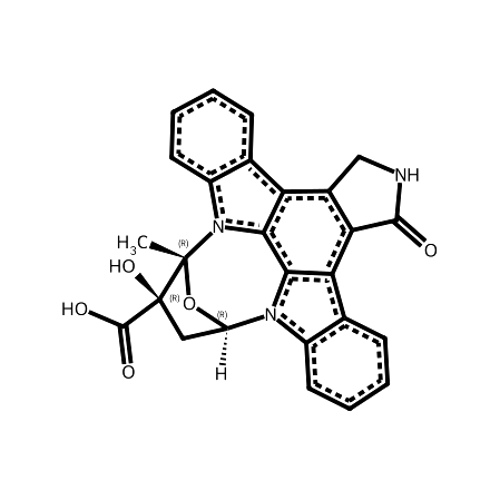 C[C@@]12O[C@H](C[C@]1(O)C(=O)O)n1c3ccccc3c3c4c(c5c6ccccc6n2c5c31)CNC4=O